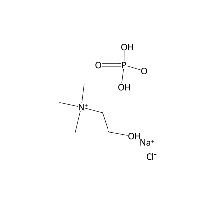 C[N+](C)(C)CCO.O=P([O-])(O)O.[Cl-].[Na+]